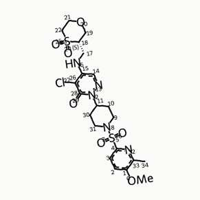 COc1ccc(S(=O)(=O)N2CCC(n3ncc(NC[C@H]4COCCS4(=O)=O)c(Cl)c3=O)CC2)nc1C